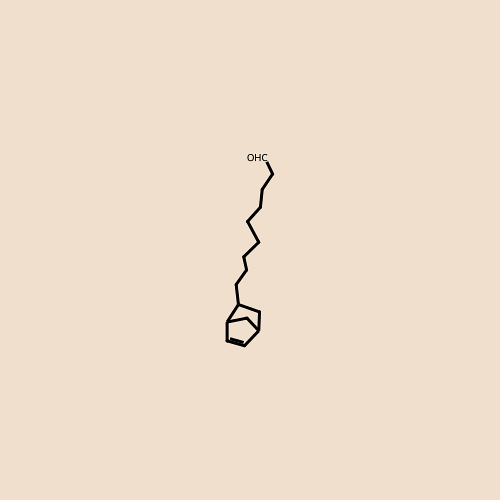 O=CCCCCCCCCC1CC2C=CC1C2